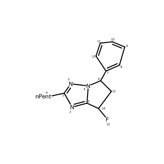 CCCCCc1nc2n(n1)C(c1ccccc1)CC2F